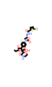 CCCOC(C(=O)O)(C1OCCNC1=O)C(C=O)c1ccc(N2C[C@H](CNC(=O)c3ccc(Cl)s3)OC2=O)c(F)c1